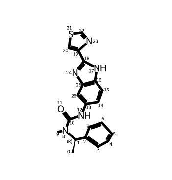 C[C@H](c1ccccc1)N(C)C(=O)Nc1ccc2[nH]c(-c3cscn3)nc2c1